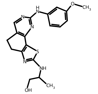 COc1cccc(Nc2ncc3c(n2)-c2sc(NC(C)CO)nc2CC3)c1